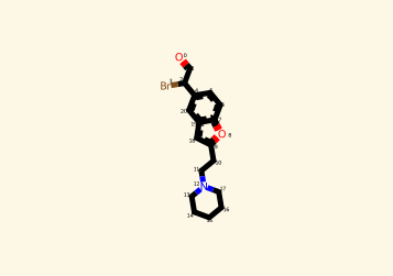 O=CC(Br)c1ccc2oc(CCN3CCCCC3)cc2c1